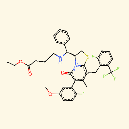 CCOC(=O)CCCNC(c1ccccc1)C1CSc2c(Cc3c(F)cccc3C(F)(F)F)c(C)c(-c3cc(OC)ccc3F)c(=O)n21